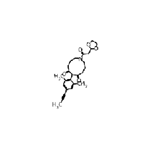 CC#Cc1cc(C)c(C2C(=O)CCCN(C(=O)CC3OCCO3)CCCC2=O)c(C)c1